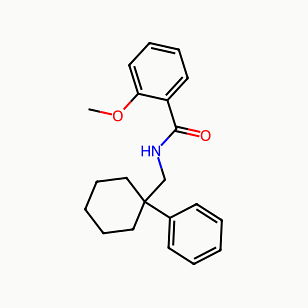 COc1ccccc1C(=O)NCC1(c2ccccc2)CCCCC1